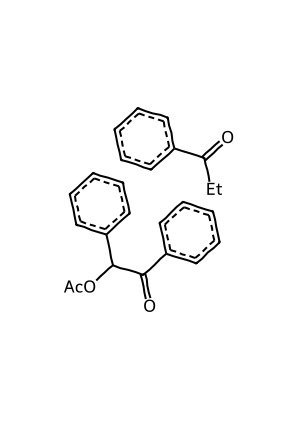 CC(=O)OC(C(=O)c1ccccc1)c1ccccc1.CCC(=O)c1ccccc1